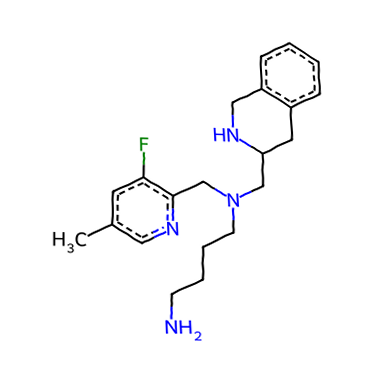 Cc1cnc(CN(CCCCN)CC2Cc3ccccc3CN2)c(F)c1